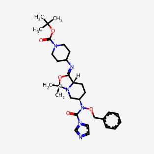 CC(C)(C)OC(=O)N1CCC(/N=C2\O[Si](C)(C)N3C[C@H](N(OCc4ccccc4)C(=O)n4ccnc4)CC[C@@H]23)CC1